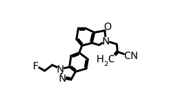 C=C(C#N)CN1Cc2c(cccc2-c2ccc3cnn(CCF)c3c2)C1=O